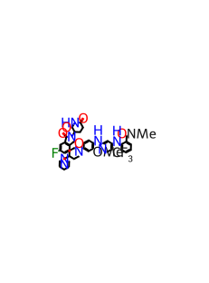 CNC(=O)c1ccccc1Nc1cc(Nc2ccc(N3CCC(CN4C5CC4CN(c4cc6c(cc4F)C(=O)N(C4CCC(=O)NC4=O)C6=O)C5)CC3)cc2OC)ncc1C(F)(F)F